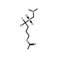 CC(=O)OCCCC(F)(F)S(=O)(=O)CN(C)C